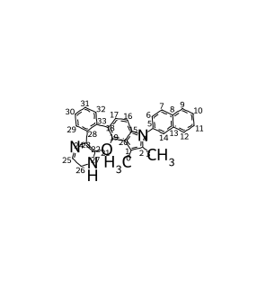 Cc1c(C)n(-c2ccc3ccccc3c2)c2ccc3c(c12)OC1=C(N=CCN1)c1ccccc1-3